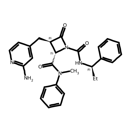 CC[C@@H](NC(=O)N1C(=O)[C@H](Cc2ccnc(N)c2)[C@H]1C(=O)N(C)c1ccccc1)c1ccccc1